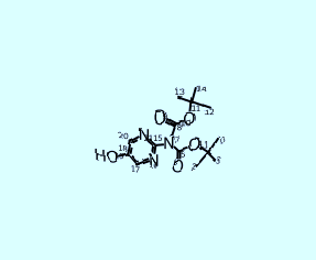 CC(C)(C)OC(=O)N(C(=O)OC(C)(C)C)c1ncc(O)cn1